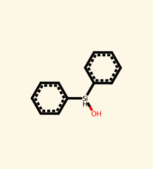 O[SiH](c1ccccc1)c1ccccc1